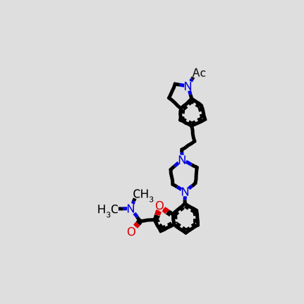 CC(=O)N1CCc2cc(CCN3CCN(c4cccc5cc(C(=O)N(C)C)oc45)CC3)ccc21